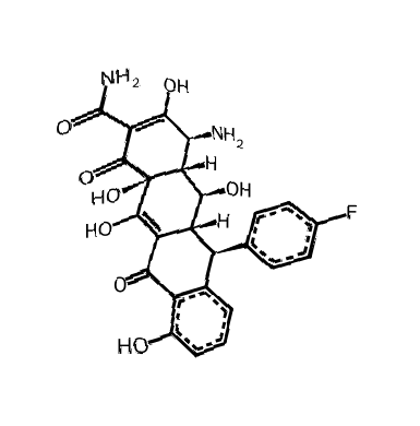 NC(=O)C1=C(O)[C@@H](N)[C@@H]2[C@@H](O)[C@H]3C(=C(O)[C@]2(O)C1=O)C(=O)c1c(O)cccc1[C@@H]3c1ccc(F)cc1